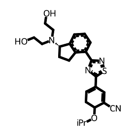 CC(C)OC1CC=C(c2nc(-c3cccc4c3CC[C@@H]4N(CCO)CCO)ns2)C=C1C#N